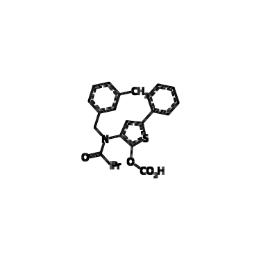 Cc1cccc(CN(C(=O)C(C)C)c2cc(-c3ccccc3)sc2OC(=O)O)c1